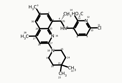 Cc1cc([C@H](C)Nc2ccc(Cl)nc2C(=O)O)c2nc(N3CCC(C)(C)CC3)cc(C)c2c1